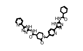 O=C(Nc1nnc(-c2ccc(CN3CCC(C(=O)Nc4nnc(-c5ccccn5)[nH]4)CC3=O)cn2)[nH]1)C1CC=CCC1